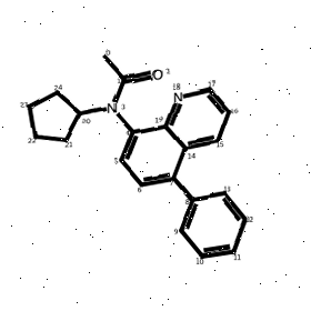 CC(=O)N(c1ccc(-c2ccccc2)c2cccnc12)C1CCCC1